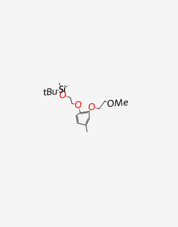 COCCOc1cc(C)ccc1OCCO[Si](C)(C)C(C)(C)C